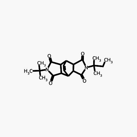 CCC(C)(C)N1C(=O)C2C3C=CC(C4C(=O)N(C(C)(C)C)C(=O)C34)C2C1=O